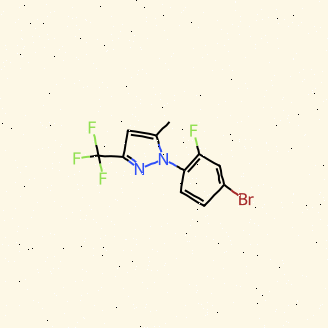 Cc1cc(C(F)(F)F)nn1-c1ccc(Br)cc1F